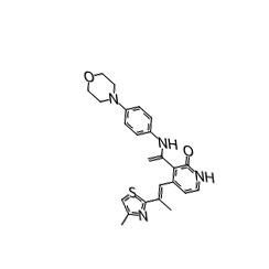 C=C(Nc1ccc(N2CCOCC2)cc1)c1c(/C=C(\C)c2nc(C)cs2)cc[nH]c1=O